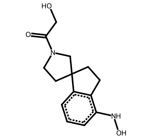 O=C(CO)N1CCC2(CCc3c(NO)cccc32)C1